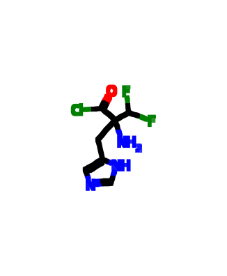 NC(Cc1cnc[nH]1)(C(=O)Cl)C(F)F